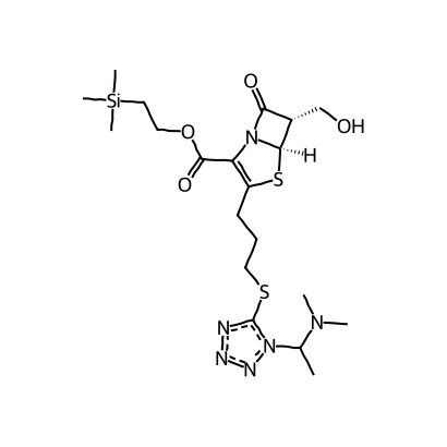 CC(N(C)C)n1nnnc1SCCCC1=C(C(=O)OCC[Si](C)(C)C)N2C(=O)[C@H](CO)[C@H]2S1